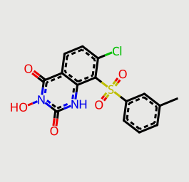 Cc1cccc(S(=O)(=O)c2c(Cl)ccc3c(=O)n(O)c(=O)[nH]c23)c1